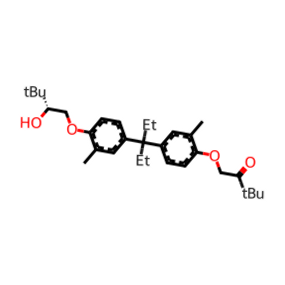 CCC(CC)(c1ccc(OCC(=O)C(C)(C)C)c(C)c1)c1ccc(OC[C@H](O)C(C)(C)C)c(C)c1